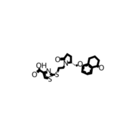 O=C(O)c1csc(SCCN2C(=O)CC[C@@H]2COc2cccc3c2CCCC3=O)n1